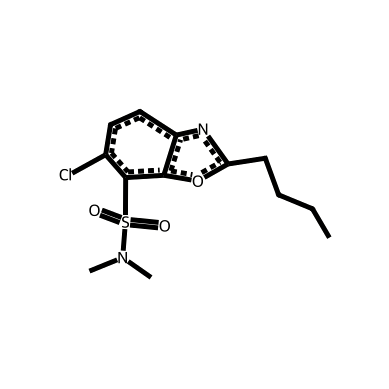 CCCCc1nc2ccc(Cl)c(S(=O)(=O)N(C)C)c2o1